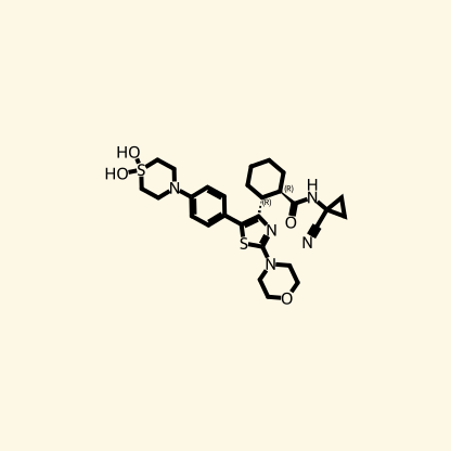 N#CC1(NC(=O)[C@@H]2CCCC[C@H]2c2nc(N3CCOCC3)sc2-c2ccc(N3CCS(O)(O)CC3)cc2)CC1